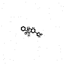 Cn1cc(-c2cnc(Cl)c(NS(=O)(=O)c3ccccc3)c2)cn1